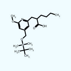 CCCCC(Cc1cc(CO[Si](C)(C)C(C)(C)C)cc(OC)n1)C(=O)O